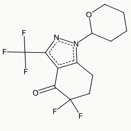 O=C1c2c(C(F)(F)F)nn(C3CCCCO3)c2CCC1(F)F